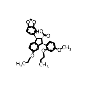 CCCOc1ccc2c(c1)[C@H](c1ccc(OC)cc1OCCC)[C@@H](C(=O)O)[C@@H]2c1ccc2c(c1)OCO2